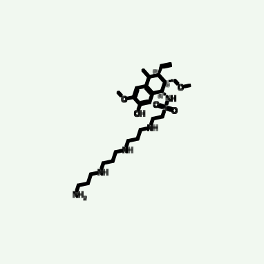 C=C[C@@H]1C(C)c2cc(OC)c(O)cc2[C@@H](NS(=O)(=O)CCNCCCNCCCNCCCN)[C@H]1COC